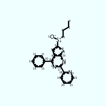 CCCC[S+]([O-])c1cc2c(-c3ccccc3)nc(-c3ccccn3)nc2s1